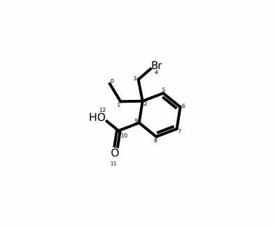 CCC1(CBr)C=CC=CC1C(=O)O